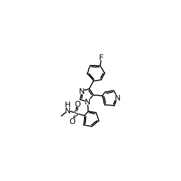 CNS(=O)(=O)c1ccccc1-n1cnc(-c2ccc(F)cc2)c1-c1ccncc1